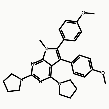 COc1ccc(-c2c(-c3ccc(OC)cc3)n(C)c3nc(N4CCCC4)nc(N4CCCC4)c23)cc1